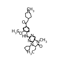 CC[C@@H]1C(=O)N(C)c2cnc(Nc3ccc(C(=O)CC4CCN(C)CC4)cc3OC)nc2N1C1CCCC1